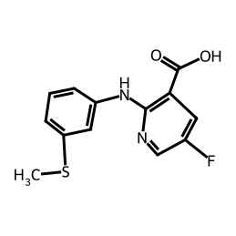 CSc1cccc(Nc2ncc(F)cc2C(=O)O)c1